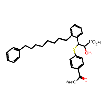 COC(=O)c1ccc(SC(c2ccccc2CCCCCCCCc2ccccc2)C(O)C(=O)O)cc1